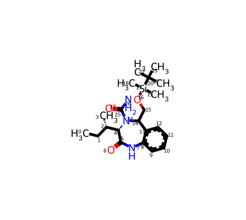 CC[C@H](C)[C@H]1C(=O)Nc2ccccc2C(CO[Si](C)(C)C(C)(C)C)N1C(N)=O